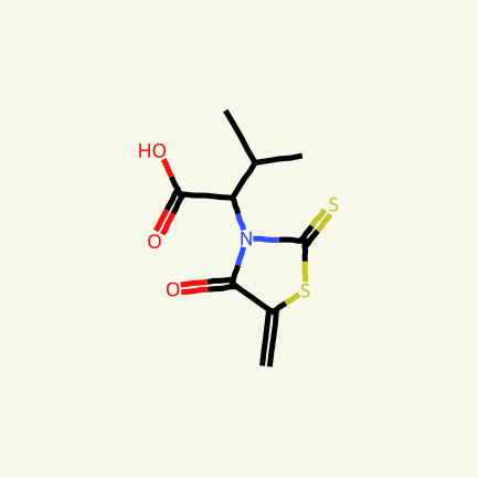 C=C1SC(=S)N(C(C(=O)O)C(C)C)C1=O